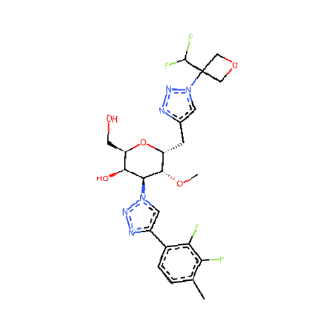 CO[C@@H]1[C@@H](n2cc(-c3ccc(C)c(F)c3F)nn2)[C@@H](O)[C@@H](CO)O[C@@H]1Cc1cn(C2(C(F)F)COC2)nn1